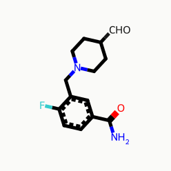 NC(=O)c1ccc(F)c(CN2CCC(C=O)CC2)c1